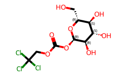 O=C(OCC(Cl)(Cl)Cl)O[C@H]1O[C@H](CO)[C@@H](O)[C@H](O)[C@H]1O